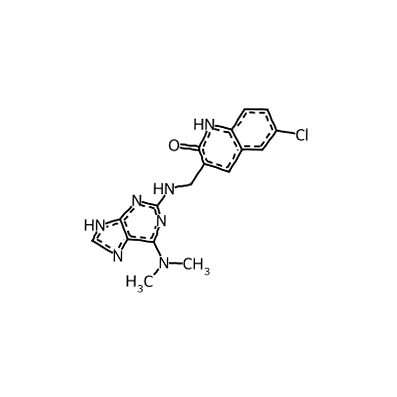 CN(C)c1nc(NCc2cc3cc(Cl)ccc3[nH]c2=O)nc2[nH]cnc12